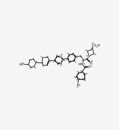 CCCC1CCC(C2CC=C(c3cnc(-c4ccc(C[C@H](NC(=O)c5ccc(C(C)=O)cc5)C(=O)N5CC(C(=O)O)C5)cc4)nc3)CC2)CC1